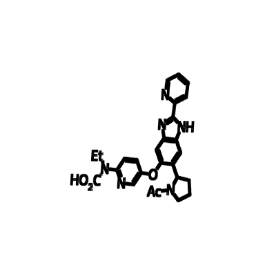 CCN(C(=O)O)c1ccc(Oc2cc3nc(-c4ccccn4)[nH]c3cc2C2CCCN2C(C)=O)cn1